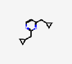 [c]1cc(CC2CC2)nc(CC2CC2)n1